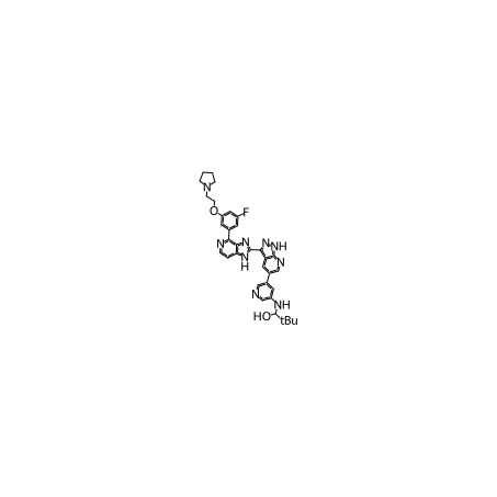 CC(C)(C)C(O)Nc1cncc(-c2cnc3[nH]nc(-c4nc5c(-c6cc(F)cc(OCCN7CCCC7)c6)nccc5[nH]4)c3c2)c1